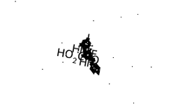 Cc1cc(I)ccc1Nc1c(C(=O)O)cc(C(=O)NC2CCN(C)CC2)c(F)c1F